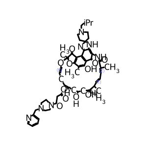 C/C1=C/C=C/C(C)[C@H](O)CC(O)C[C@H](OC(=O)CC(=O)N2CCN(Cc3ccccn3)CC2)CC/C=C/O[C@@]2(C)Oc3c(C)c(O)c4c(c3C2=O)C2=NC3(CCN(CC(C)C)CC3)NC2=C(NC1=O)C4=O